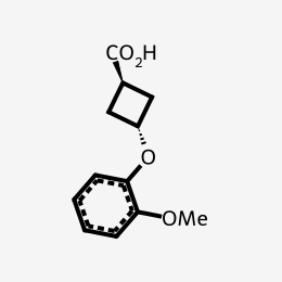 COc1ccccc1O[C@H]1C[C@H](C(=O)O)C1